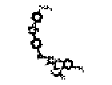 CCc1ccc(C)cc1N1C(=O)CS/C1=N\C(=S)NC1CC1c1ccc(-c2ncn(-c3ccc(OC(F)(F)F)cc3)n2)cc1